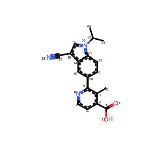 Cc1c(C(=O)O)ccnc1-c1ccc2c(c1)c(C#N)cn2C(C)C